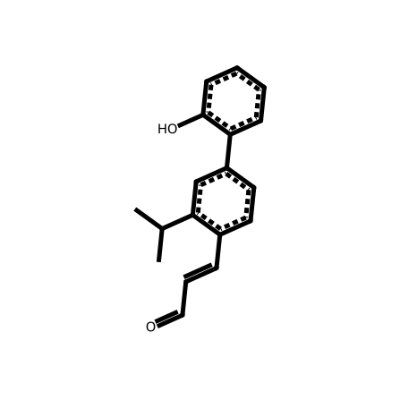 CC(C)c1cc(-c2ccccc2O)ccc1C=CC=O